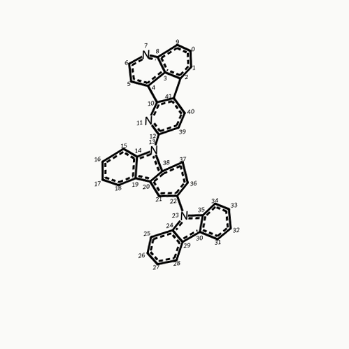 c1cc2c3c(ccnc3c1)-c1nc(-n3c4ccccc4c4cc(-n5c6ccccc6c6ccccc65)ccc43)ccc1-2